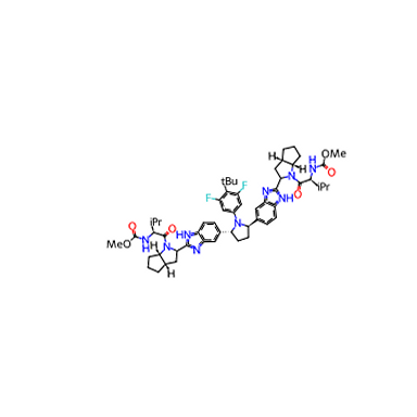 COC(=O)N[C@H](C(=O)N1C(c2nc3cc([C@H]4CC[C@H](c5ccc6[nH]c(C7C[C@@H]8CCC[C@@H]8N7C(=O)[C@@H](NC(=O)OC)C(C)C)nc6c5)N4c4cc(F)c(C(C)(C)C)c(F)c4)ccc3[nH]2)C[C@@H]2CCC[C@@H]21)C(C)C